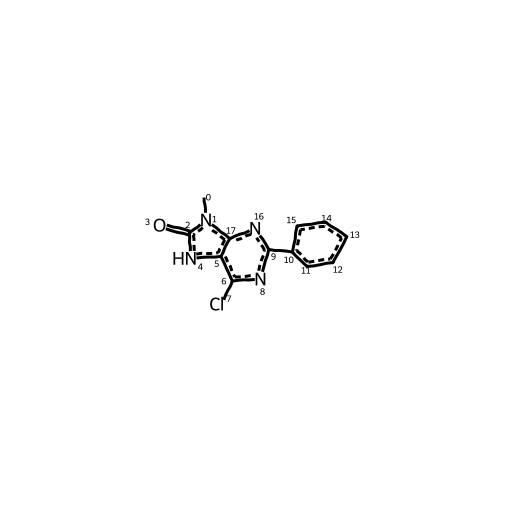 Cn1c(=O)[nH]c2c(Cl)nc(-c3ccccc3)nc21